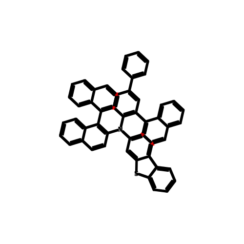 c1ccc(-c2ccc(N(c3ccc4c(c3)sc3ccccc34)c3ccc4ccccc4c3-c3cccc4ccccc34)c(-c3cccc4ccccc34)c2)cc1